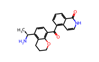 C[C@H](N)c1ccc(C(=O)c2cccc3c(=O)[nH]ccc23)c2c1CCCO2